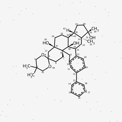 CC1(C)COC2(CC[C@@]34Cc5cc(-c6cccnc6)ccc5C5C[C@@]6(C)[C@@H](CC[C@]6(C)O)[C@H](CC[C@@]3(O)C2)[C@]54O)OC1